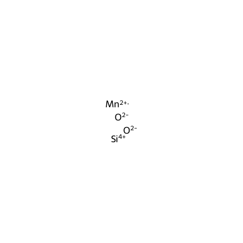 [Mn+2].[O-2].[O-2].[Si+4]